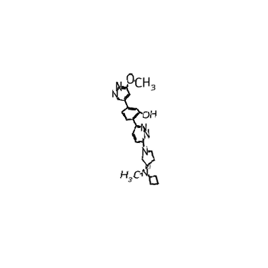 COc1cc(-c2ccc(-c3ccc(N4CC[C@@H](N(C)C5CCC5)C4)nn3)c(O)c2)cnn1